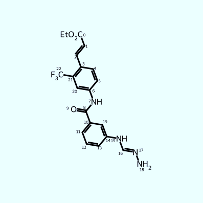 CCOC(=O)C=Cc1ccc(NC(=O)c2cccc(NC=NN)c2)cc1C(F)(F)F